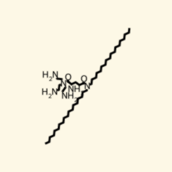 CCCCCCCCCCCCCCCCCCN(CCCCCCCCCCCCCCCCCC)C(=O)CC[C@H](N)C(=O)[N+](CCN)(CCN)CCN